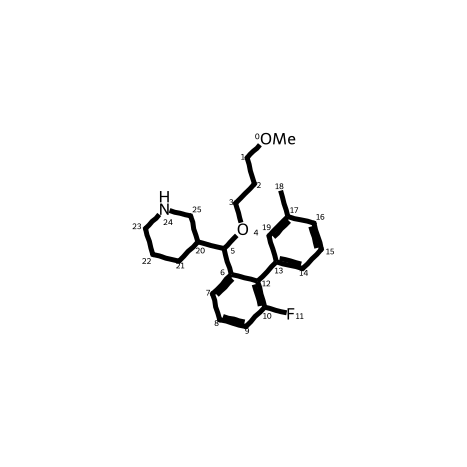 COCCCOC(c1cccc(F)c1-c1cccc(C)c1)C1CCCNC1